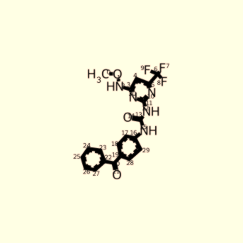 CONc1cc(C(F)(F)F)nc(NC(=O)Nc2ccc(C(=O)c3ccccc3)cc2)n1